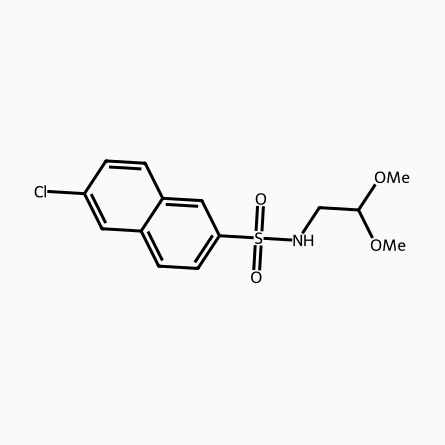 COC(CNS(=O)(=O)c1ccc2cc(Cl)ccc2c1)OC